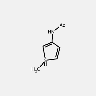 [CH2][SH]1C=CC(NC(C)=O)=C1